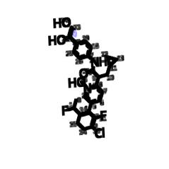 CC(F)C1=C(c2ccc(C(CC3CC3)C(=O)Nc3ccc(/C(O)=C/O)cc3)[n+](O)c2)C(F)=C(Cl)CC1